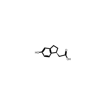 O=C(O)C[C@@H]1CCc2cc(O)ccc21